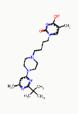 Cc1cc(N2CCN(CCCCn3cc(C)c(O)nc3=O)CC2)nc(C(C)(C)C)n1